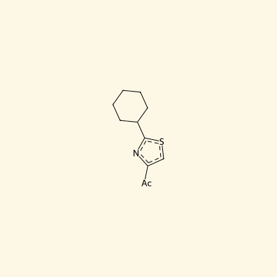 CC(=O)c1csc(C2CCCCC2)n1